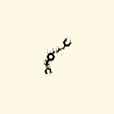 O=C(NCc1ccncc1)Nc1ccc(S(=O)(=O)NC2CCOC2)cc1